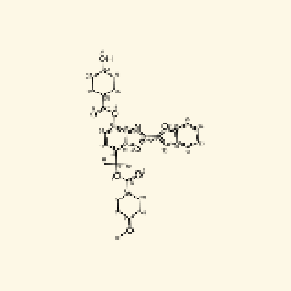 COC1CCC(C(=O)OC(C)(C)c2ccc(OC(=O)C3CCC(O)CC3)c3nc(-c4cc5ccccc5o4)sc23)CC1